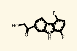 O=C(CO)c1ccc2c(c1)[nH]c1c(F)ccc(F)c12